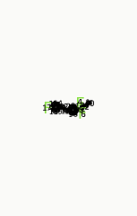 CCC/C(F)=C(\F)c1ccc(CCc2ccc(F)cc2)cc1